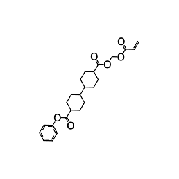 C=CC(=O)OCOC(=O)C1CCC(C2CCC(C(=O)Oc3ccccc3)CC2)CC1